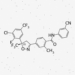 Cc1cc(C2=NO[C@@](c3cc(C(F)(F)F)cc(Cl)c3F)(C(F)(F)F)C2)ccc1C(=O)Nc1cccc(C#N)c1